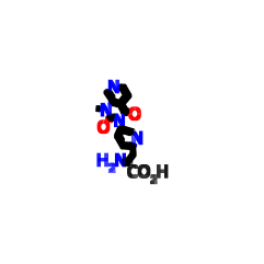 Cn1c(=O)n(-c2ccc(C[C@H](N)C(=O)O)nc2)c(=O)c2ccncc21